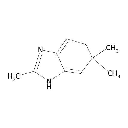 Cc1nc2c([nH]1)=CC(C)(C)CC=2